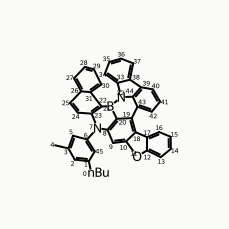 CCCCc1cc(C)cc(N2c3cc4oc5ccccc5c4c4c3B(c3c2ccc2ccccc32)n2c3ccccc3c3cccc-4c32)c1